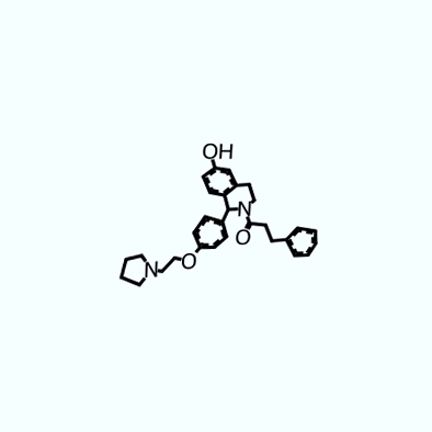 O=C(CCc1ccccc1)N1CCc2cc(O)ccc2C1c1ccc(OCCN2CCCC2)cc1